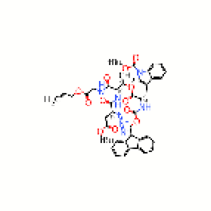 C=CCOC(=O)CNC(=O)[C@@H](NC(=O)[C@H](CC(=O)OC(C)(C)C)N=[N+]=[N-])[C@@H](C)OC(=O)[C@H](Cc1cn(C(=O)OC(C)(C)C)c2ccccc12)NC(=O)OCC1c2ccccc2-c2ccccc21